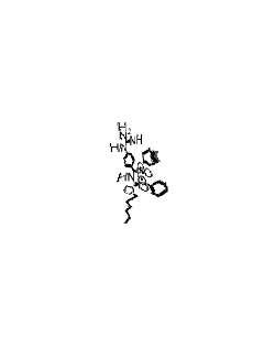 CCCCCCOC(=O)NC(c1ccc(NC(=N)N)cc1)P(=O)(Oc1ccccc1)Oc1ccccc1